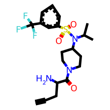 C#CCC(N)C(=O)N1CCC(N(C(C)C)S(=O)(=O)c2cccc(C(F)(F)F)c2)CC1